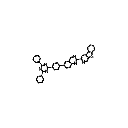 c1ccc(-c2nc(-c3ccccc3)nc(-c3ccc(-c4ccc5nc(-c6cc7c(cn6)sc6ccccc67)ncc5c4)cc3)n2)cc1